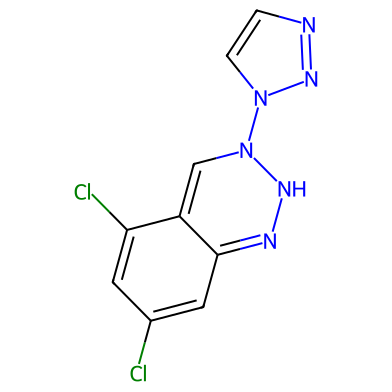 Clc1cc(Cl)c2c(c1)=NNN(n1ccnn1)C=2